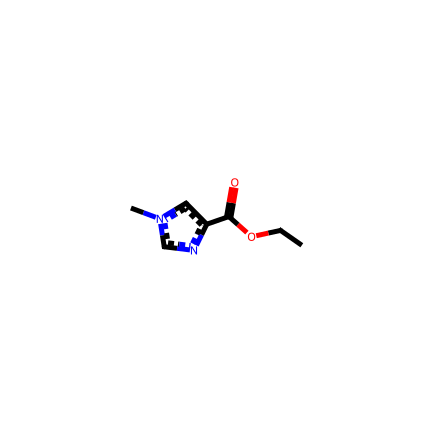 C[CH]OC(=O)c1cn(C)cn1